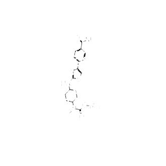 CN(C(=O)OC(C)(C)C)C1CCC(Nc2nc(-c3ccc(C(N)=O)cc3)cs2)CC1